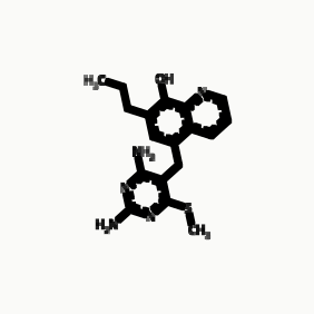 CCCc1cc(Cc2c(N)nc(N)nc2SC)c2cccnc2c1O